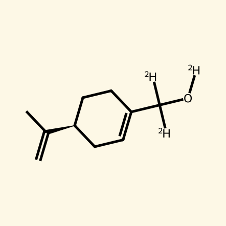 [2H]OC([2H])([2H])C1=CC[C@@H](C(=C)C)CC1